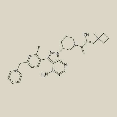 C=C(/C(C#N)=C/C1(C)CCC1)N1CCCC(n2nc(-c3ccc(Cc4ccccc4)cc3F)c3c(N)ncnc32)C1